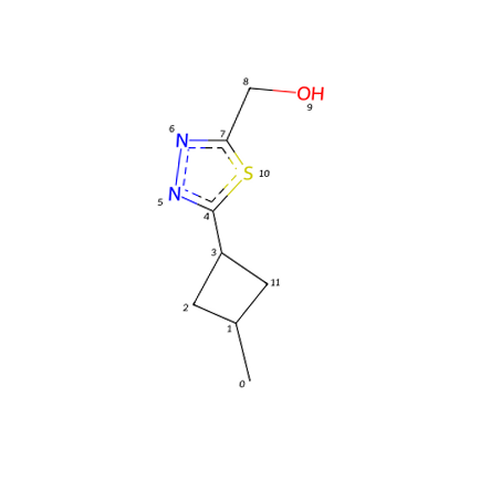 CC1CC(c2nnc(CO)s2)C1